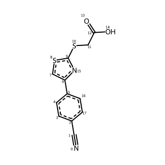 N#Cc1ccc(-c2csc(SCC(=O)O)n2)cc1